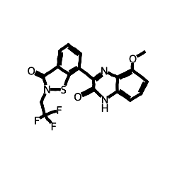 COc1cccc2[nH]c(=O)c(-c3cccc4c(=O)n(CC(F)(F)F)sc34)nc12